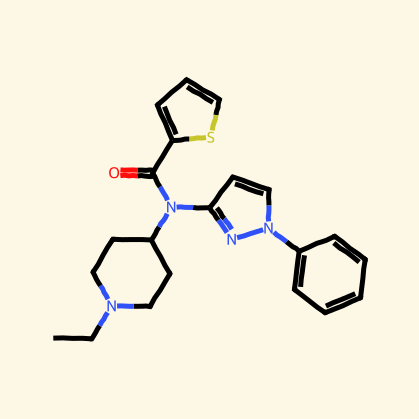 CCN1CCC(N(C(=O)c2cccs2)c2ccn(-c3ccccc3)n2)CC1